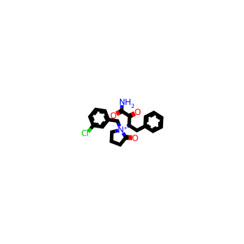 NC(=O)C(=O)C(Cc1ccccc1)[N+]1(Cc2cccc(Cl)c2)CCCC1=O